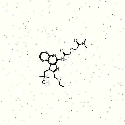 CCOCC1=Nc2c(NC(=O)COCC(=O)N(C)C)nc3ccccc3c2C1CC(C)(C)O